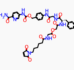 NC(=O)c1ccc(NC(=O)OCc2ccc(NC(=O)CNC(=O)[C@H](Cc3ccccc3)NC(=O)COC(=O)CNC(=O)CCCCCN3C(=O)C=CC3=O)cc2)cn1